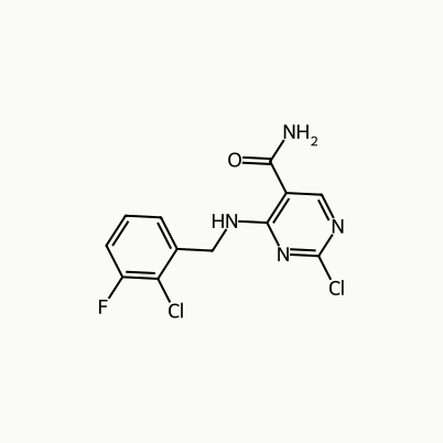 NC(=O)c1cnc(Cl)nc1NCc1cccc(F)c1Cl